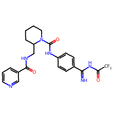 N=C(NC(=O)C(F)(F)F)c1ccc(NC(=O)N2CCCCC2CNC(=O)c2cccnc2)cc1